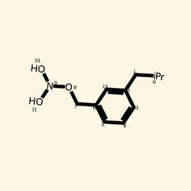 CC(C)Cc1cccc(CON(O)O)c1